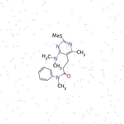 CSc1nc(C)c(CCC(=O)N(C)c2ccccc2)c(N(C)C)n1